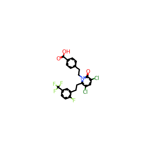 O=C(O)c1ccc(CCn2c(CCc3cc(C(F)(F)F)ccc3F)c(Cl)cc(Cl)c2=O)cc1